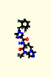 CN1C(=O)[C@H](NC(=O)c2ncn(Cc3c(F)cccc3F)n2)CCn2cncc21